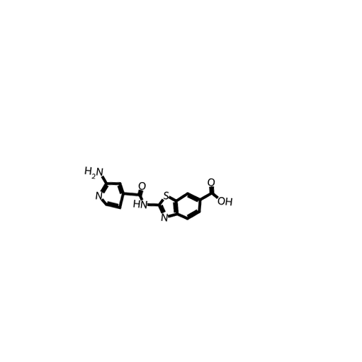 Nc1cc(C(=O)Nc2nc3ccc(C(=O)O)cc3s2)ccn1